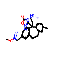 CONCc1ccc2c(c1)CCc1cc(C)ccc1C2(CCN)c1nc(=O)o[nH]1